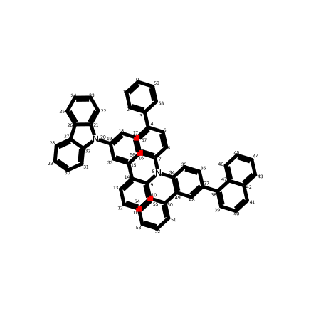 c1ccc(-c2ccc(N(c3ccccc3-c3cccc(-n4c5ccccc5c5ccccc54)c3)c3ccc(-c4cccc5ccccc45)cc3-c3ccccc3)cc2)cc1